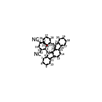 N#Cc1ccc(-n2c3ccccc3c3ccc4c5ccccc5n(-c5ccccc5)c4c32)c(C#N)c1